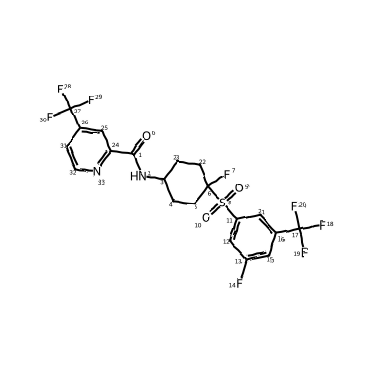 O=C(NC1CCC(F)(S(=O)(=O)c2cc(F)cc(C(F)(F)F)c2)CC1)c1cc(C(F)(F)F)ccn1